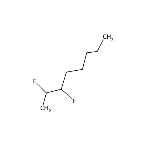 [CH2]C(F)C(F)CCCCC